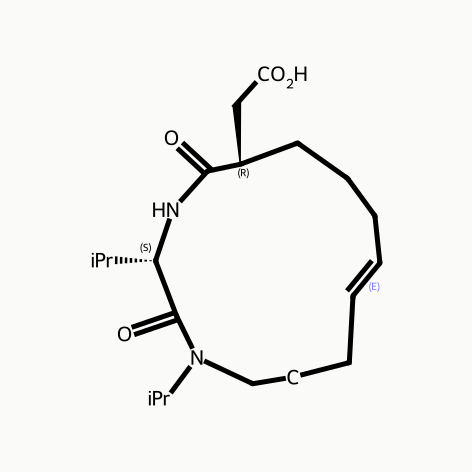 CC(C)[C@@H]1NC(=O)[C@@H](CC(=O)O)CCC/C=C/CCCN(C(C)C)C1=O